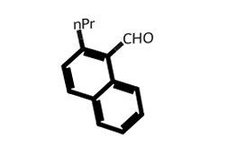 CCCc1ccc2ccccc2c1C=O